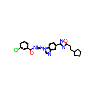 O=C(NCCn1cnc2cc(-c3noc(CCC4CCCC4)n3)ccc21)c1cccc(Cl)c1